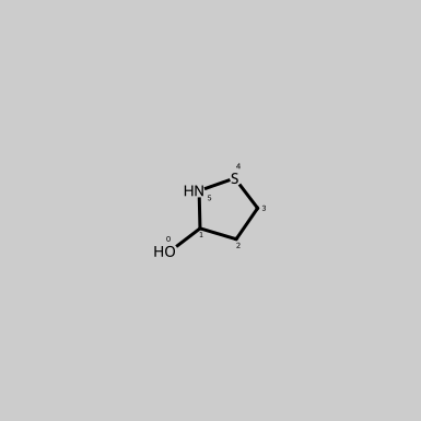 OC1CCSN1